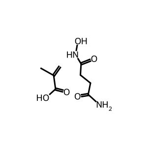 C=C(C)C(=O)O.NC(=O)CCC(=O)NO